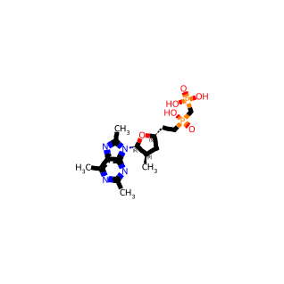 Cc1nc(C)c2nc(C)n([C@@H]3O[C@H](CCP(=O)(O)CP(=O)(O)O)C[C@H]3C)c2n1